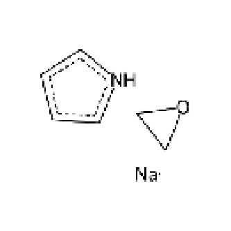 C1CO1.[Na].c1cc[nH]c1